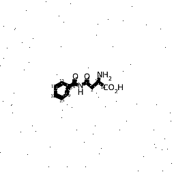 NC(CC(=O)NC(=O)c1ccccc1)C(=O)O